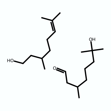 CC(C)=CCCC(C)CCO.CC(CC=O)CCCC(C)(C)O